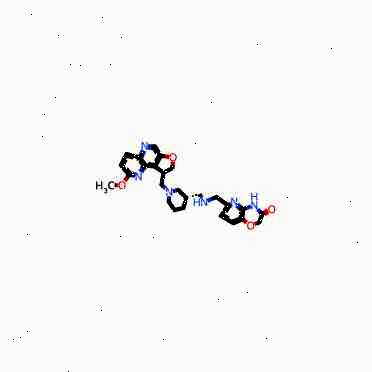 COc1ccc2ncc3c(c2n1)C(CN1CCC[C@@H](CNCc2ccc4c(n2)NC(=O)CO4)C1)CO3